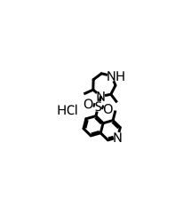 Cc1cncc2cccc(S(=O)(=O)N3C(C)CCNCC3C)c12.Cl